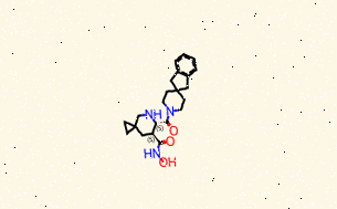 O=C(NO)[C@H]1CC2(CC2)CN[C@@H]1C(=O)N1CCC2(CC1)Cc1ccccc1C2